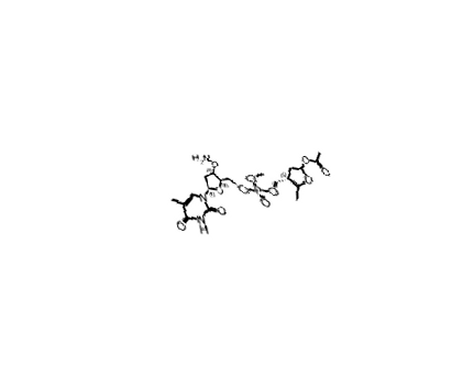 COP(=O)(OC[C@@H]1CC(OC(C)=O)OC1C)OC[C@H]1O[C@@H](n2cc(C)c(=O)[nH]c2=O)C[C@H]1ON